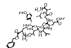 CC(C)C[C@@H](NC(=O)[C@@H](CCC(=O)O)NC(=O)[C@H](NC(=O)[C@H](NC(=O)[C@@H](Cc1ccc(O)cc1)NCC[C@@H](N)C(=O)OCc1ccccc1)[C@@H](C)O)C(C)C)C(=O)N[C@H](C)C(N)=O